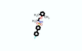 Cc1cccc(C)c1OCC(C)NS(=O)(=O)c1ccc(-c2ccc(F)cc2)cc1